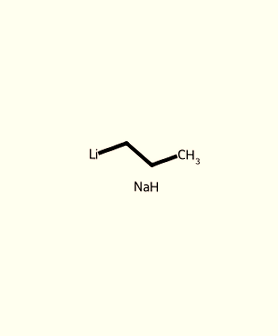 [Li][CH2]CC.[NaH]